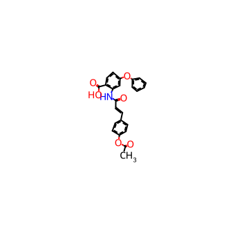 CC(=O)Oc1ccc(C=CC(=O)Nc2cc(Oc3ccccc3)ccc2C(=O)O)cc1